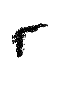 O=S(=O)(O)O.O=S(=O)(O)O.O=S(=O)(O)O.O=S(=O)([O-])O.O=S(=O)([O-])[O-].O=S(=O)([O-])[O-].O=S(=O)([O-])[O-].O=S(=O)([O-])[O-].[Ca+2].[Cs+].[Cs+].[K+].[K+].[Li+].[Na+].[Rb+]